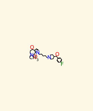 CN1CCC(=O)c2ccn(CCCCCN3CCC(C(=O)c4ccc(F)cc4)CC3)c2C1=O